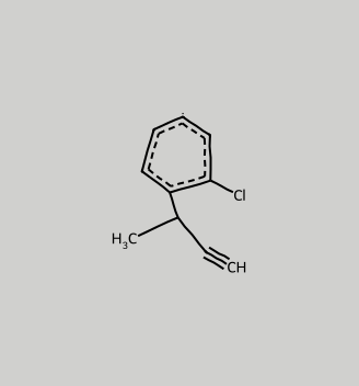 C#CC(C)c1cc[c]cc1Cl